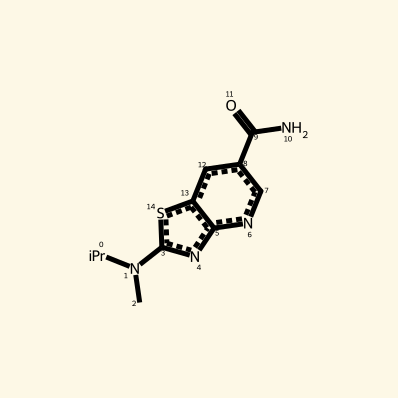 CC(C)N(C)c1nc2ncc(C(N)=O)cc2s1